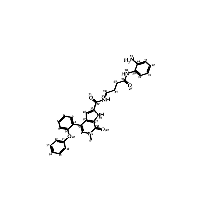 Cn1cc(-c2ccccc2Oc2ccccc2)c2cc(C(=O)NCCCC(=O)Nc3ccccc3N)[nH]c2c1=O